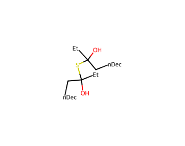 CCCCCCCCCCCC(O)(CC)SC(O)(CC)CCCCCCCCCCC